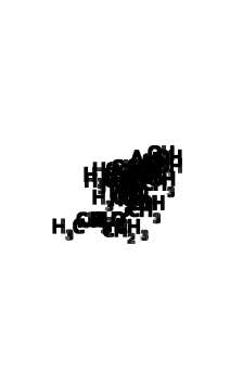 C=C(C/C=C(\C)CCC=C(C)C)CCC(C)(C)/C=C/CC/C(C)=C\CO[C@@H](C)COP(=O)(O)OC1OC(C)C(C)(O)C(C=O)C1OC1OC(COC2OC(CO)C(O)C(O)C2O)C(OC2OC(C)C(OC3OC(C(C)=O)C(O)C(O)C3O)C(O)C2C)C(O)C1C